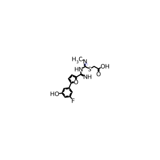 C/N=C(\NC(=N)c1ccc(-c2cc(O)cc(F)c2)o1)SCC(=O)O